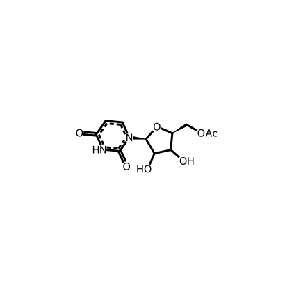 CC(=O)OC[C@@H]1O[C@H](n2ccc(=O)[nH]c2=O)C(O)C1O